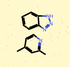 Cc1ccnc(C)c1.c1ccc2[nH]nnc2c1